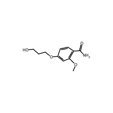 COc1cc(OCCCO)ccc1C(N)=O